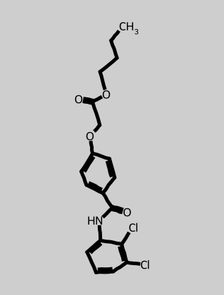 CCCCOC(=O)COc1ccc(C(=O)Nc2cccc(Cl)c2Cl)cc1